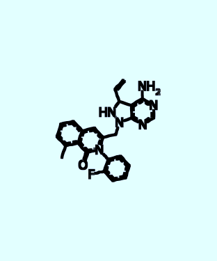 C=CC1NN(Cc2cc3cccc(C)c3c(=O)n2-c2ccccc2F)c2ncnc(N)c21